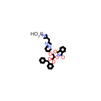 O=C(OC(c1ccccc1)c1ccccc1)C(COc1ccc2nc(CC3CN(C(=O)O)C3)cn2c1)ON1C(=O)c2ccccc2C1=O